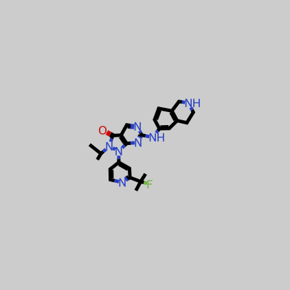 CC(C)n1c(=O)c2cnc(Nc3ccc4c(c3)CCNC4)nc2n1-c1ccnc(C(C)(C)F)c1